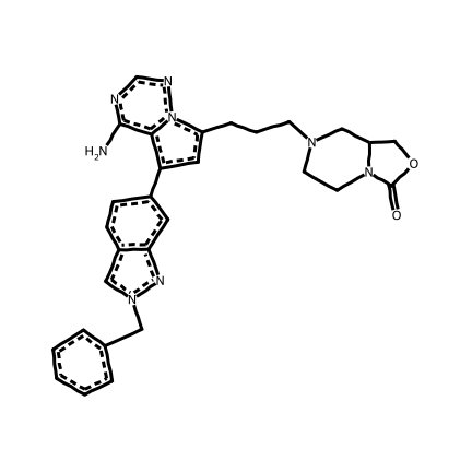 Nc1ncnn2c(CCCN3CCN4C(=O)OCC4C3)cc(-c3ccc4cn(Cc5ccccc5)nc4c3)c12